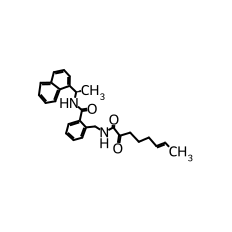 C/C=C/CCCC(=O)C(=O)NCc1ccccc1C(=O)N[C@H](C)c1cccc2ccccc12